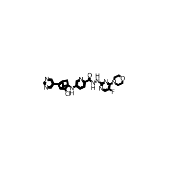 CC1C2=C(c3cncnc3)C=C(Cl)C1(Nc1ccc(C(=O)NNc3ncc(F)c(N4CCOCC4)n3)nc1)C2